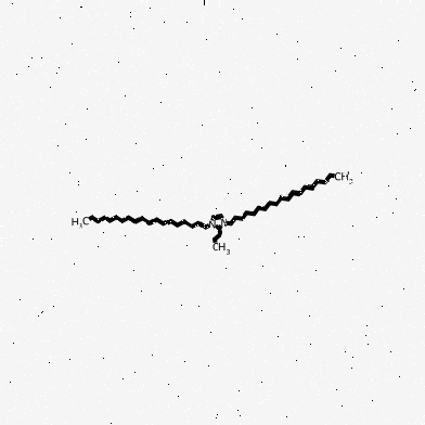 CCCCCCCCCCCCCCCCCCCN1C=CN(CCCCCCCCCCCCCCCCCCC)C1CCC